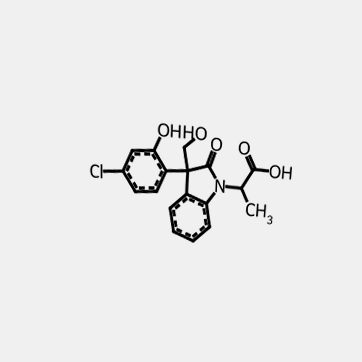 CC(C(=O)O)N1C(=O)C(CO)(c2ccc(Cl)cc2O)c2ccccc21